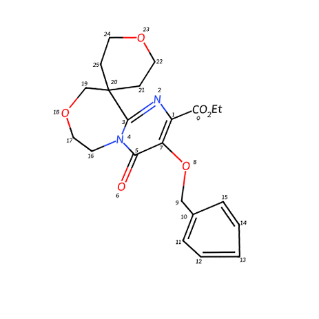 CCOC(=O)c1nc2n(c(=O)c1OCc1ccccc1)CCOCC21CCOCC1